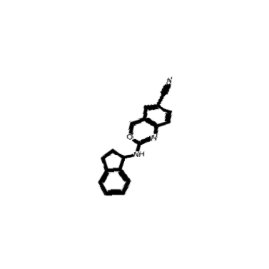 N#Cc1ccc2c(c1)COC(NC1CCc3ccccc31)=N2